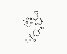 C[C@]1(O)CCC[C@H]1Oc1nc(Nc2ccc(S(N)(=O)=O)cc2)ncc1C1CC1